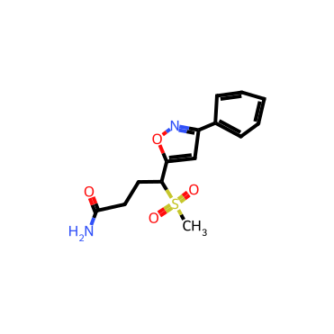 CS(=O)(=O)C(CCC(N)=O)c1cc(-c2ccccc2)no1